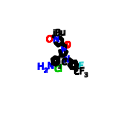 CCC(C)C(=O)N1CCC(C(=O)N2CC(N(C)Cc3ccc(C(F)(F)F)c(F)c3)[C@@H](c3ccc(N)c(Cl)c3)C2)CC1